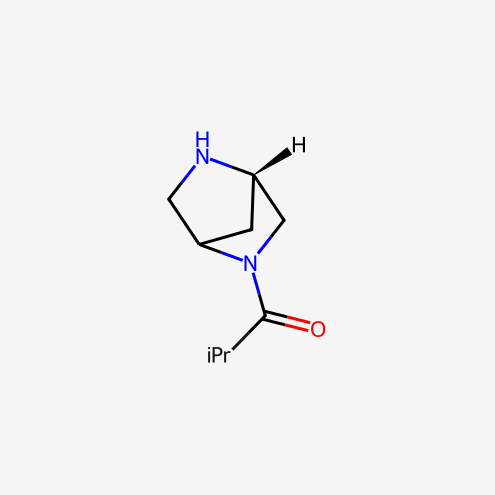 CC(C)C(=O)N1C[C@@H]2CC1CN2